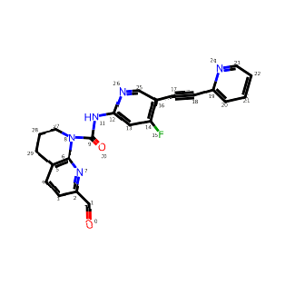 O=Cc1ccc2c(n1)N(C(=O)Nc1cc(F)c(C#Cc3ccccn3)cn1)CCC2